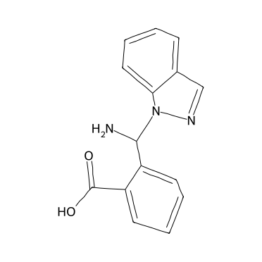 NC(c1ccccc1C(=O)O)n1ncc2ccccc21